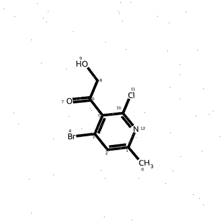 Cc1cc(Br)c(C(=O)CO)c(Cl)n1